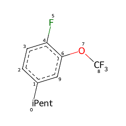 CCCC(C)c1ccc(F)c(OC(F)(F)F)c1